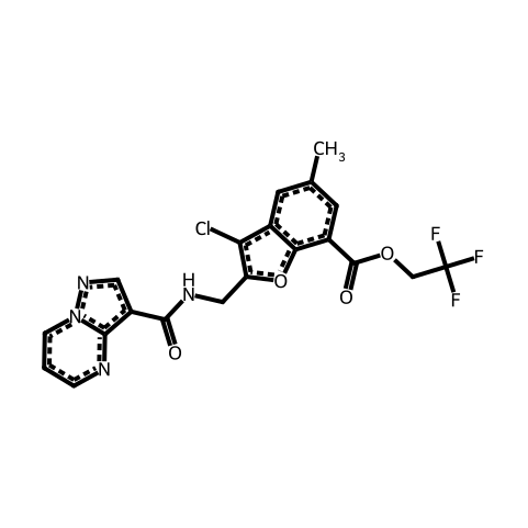 Cc1cc(C(=O)OCC(F)(F)F)c2oc(CNC(=O)c3cnn4cccnc34)c(Cl)c2c1